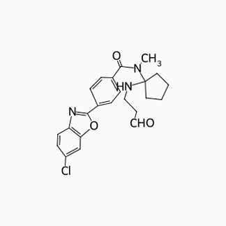 CN(C(=O)c1ccc(-c2nc3ccc(Cl)cc3o2)cc1)C1(NCCC=O)CCCC1